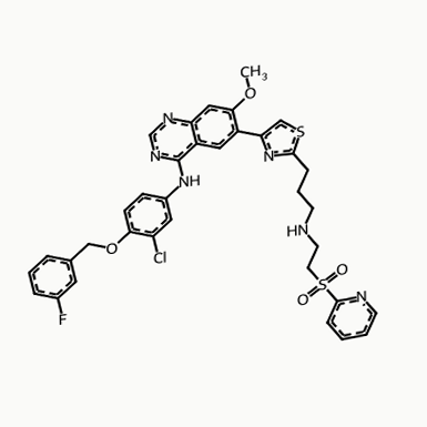 COc1cc2ncnc(Nc3ccc(OCc4cccc(F)c4)c(Cl)c3)c2cc1-c1csc(CCCNCCS(=O)(=O)c2ccccn2)n1